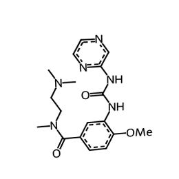 COc1ccc(C(=O)N(C)CCN(C)C)cc1NC(=O)Nc1cnccn1